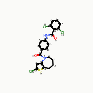 O=C(Nc1ccc(C(=O)N2CCCCc3sc(Cl)cc32)cc1)c1c(Cl)cccc1Cl